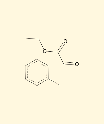 CCOC(=O)C=O.Cc1ccccc1